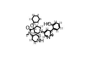 CN(C(=O)C1(OC2CCCCC2)CCN(c2cnnc(-c3ccccc3O)c2)CC1)C1CCNCC1